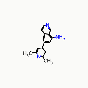 CC1=CC(c2cc(N)c3cnccc3c2)CC(C)=N1